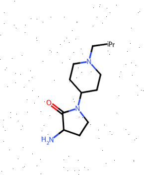 CC(C)CN1CCC(N2CCC(N)C2=O)CC1